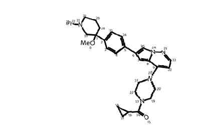 COC1(c2ccc(-c3cc4c(N5CCN(C(=O)C6CC6)CC5)ccnn4c3)cc2)CCCN(C(C)C)C1